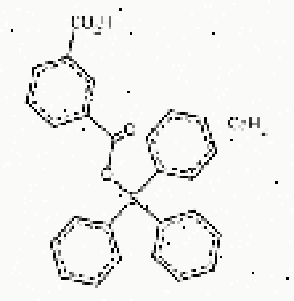 O=C(O)c1cccc(C(=O)OS(c2ccccc2)(c2ccccc2)c2ccccc2)c1.[CaH2]